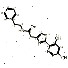 N#Cc1cnc(-c2nc(CC(=O)NCCc3ccccc3)cs2)c(O)c1